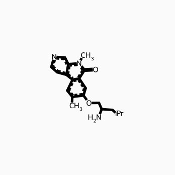 Cc1cc2c(cc1OCC(N)CC(C)C)c(=O)n(C)c1cnccc21